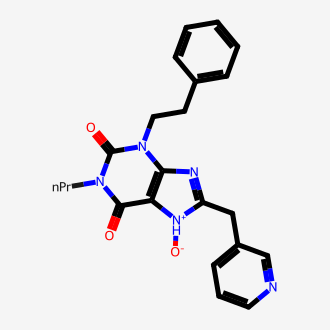 CCCn1c(=O)c2c(n(CCc3ccccc3)c1=O)N=C(Cc1cccnc1)[NH+]2[O-]